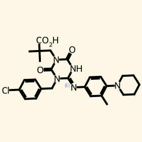 Cc1cc(/N=c2\[nH]c(=O)n(CC(C)(C)C(=O)O)c(=O)n2Cc2ccc(Cl)cc2)ccc1N1CCCCC1